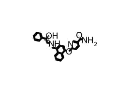 NC(=O)c1ccc(Oc2ccc(CNC[C@H](O)c3ccccc3)c3ccccc23)nc1